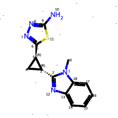 Cn1c([C@@H]2C[C@H]2c2nnc(N)s2)nc2ccccc21